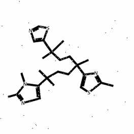 Cc1nc(C(C)(CCC(C)(C)c2cncs2)CCC(C)(C)c2cnc(C)n2C)cs1